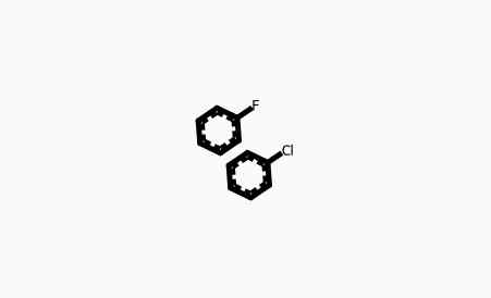 Clc1ccccc1.Fc1ccccc1